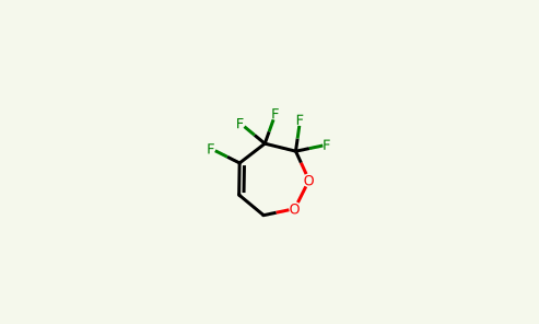 FC1=CCOOC(F)(F)C1(F)F